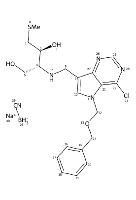 CSC[C@@H](O)[C@@H](CO)NCc1cn(COCc2ccccc2)c2c(Cl)ncnc12.[BH3-]C#N.[Na+]